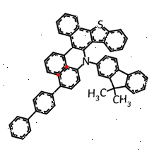 CC1(C)c2ccccc2-c2ccc(N(c3ccc(-c4ccc(-c5ccccc5)cc4)cc3)c3c(-c4ccccc4)c4ccccc4c4sc5ccccc5c34)cc21